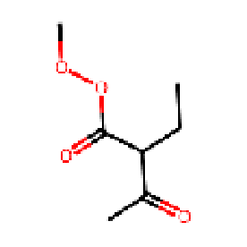 CCC(C(C)=O)C(=O)OOC